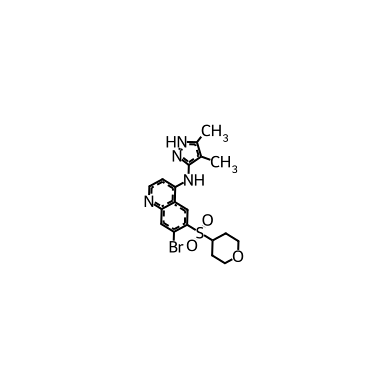 Cc1[nH]nc(Nc2ccnc3cc(Br)c(S(=O)(=O)C4CCOCC4)cc23)c1C